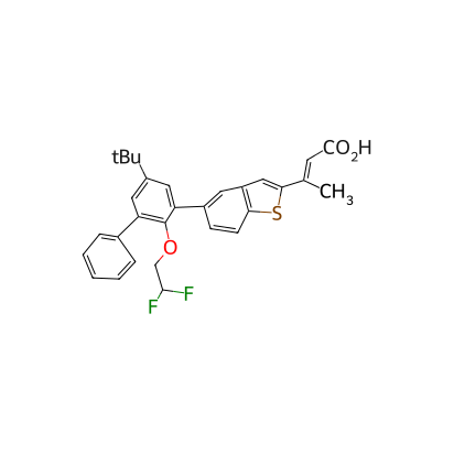 CC(=CC(=O)O)c1cc2cc(-c3cc(C(C)(C)C)cc(-c4ccccc4)c3OCC(F)F)ccc2s1